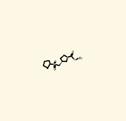 CC(C)(C)OC(=O)N1CC[C@H](CS(=O)(=O)C2CCCC2)C1